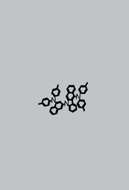 Cc1ccc(N(c2ccc(C)cc2)c2cc(-n3c4ccccc4c4c(N(c5ccc(C)cc5)c5ccc(C)cc5)c5ccccc5cc43)cc3ccccc23)cc1